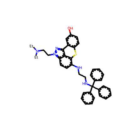 CCN(CC)CCn1nc2c3c(c(NCCNC(c4ccccc4)(c4ccccc4)c4ccccc4)ccc31)Sc1ccc(O)cc1-2